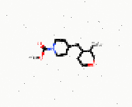 COC1COCCC1CC1CCN(C(=O)OC(C)(C)C)CC1